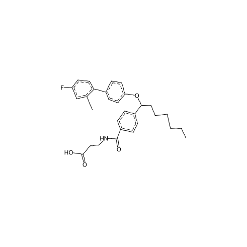 CCCCCCC(Oc1ccc(-c2ccc(F)cc2C)cc1)c1ccc(C(=O)NCCC(=O)O)cc1